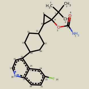 CC(C)(C)C1(OC(N)=O)CC1C1CCC(c2ccnc3ccc(F)cc23)CC1